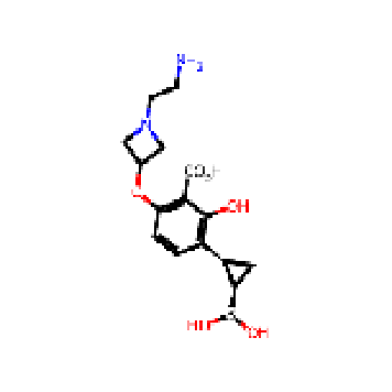 NCCN1CC(Oc2ccc([C@H]3C[C@H]3B(O)O)c(O)c2C(=O)O)C1